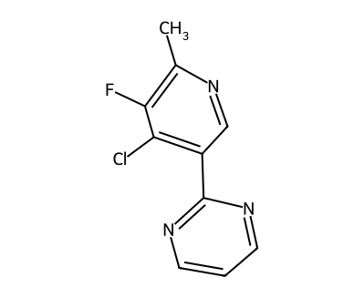 Cc1ncc(-c2ncccn2)c(Cl)c1F